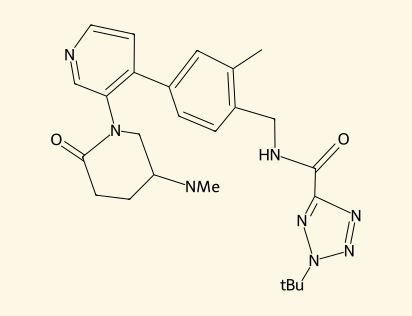 CNC1CCC(=O)N(c2cnccc2-c2ccc(CNC(=O)c3nnn(C(C)(C)C)n3)c(C)c2)C1